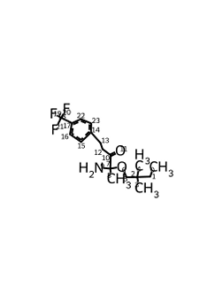 CCC(C)(C)COC(C)(N)C(=O)CCc1ccc(C(F)(F)F)cc1